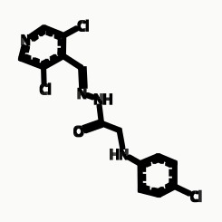 O=C(CNc1ccc(Cl)cc1)N/N=C/c1c(Cl)cncc1Cl